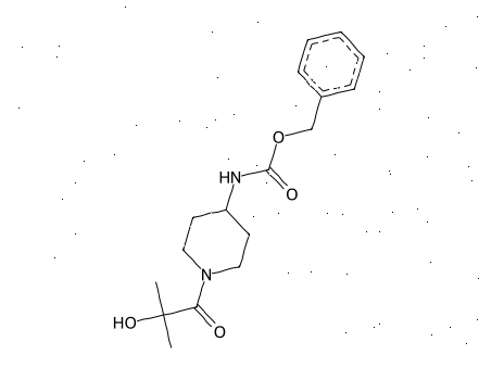 CC(C)(O)C(=O)N1CCC(NC(=O)OCc2ccccc2)CC1